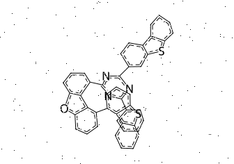 c1ccc(-c2nc(-c3ccc4c(c3)sc3ccccc34)nc(-c3cccc4oc5cccc(-c6cccc7sc8ccccc8c67)c5c34)n2)cc1